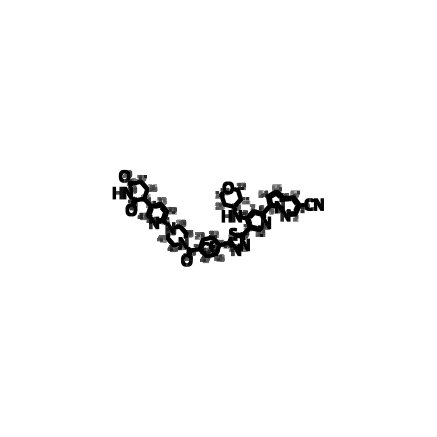 N#Cc1cnn2c(-c3cc(NC4CCOCC4)c(-c4nnc(C56CCC(C(=O)N7CCN(c8ccc(C9CCC(=O)NC9=O)cn8)CC7)(CC5)CC6)s4)cn3)ccc2c1